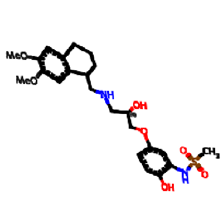 COc1cc2c(cc1OC)C(CNC[C@@H](O)COc1ccc(O)c(NS(C)(=O)=O)c1)CCC2